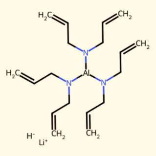 C=CC[N](CC=C)[Al]([N](CC=C)CC=C)[N](CC=C)CC=C.[H-].[Li+]